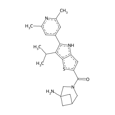 Cc1cc(-c2[nH]c3cc(C(=O)N4CC5CC(N)(C5)C4)sc3c2C(C)C)cc(C)n1